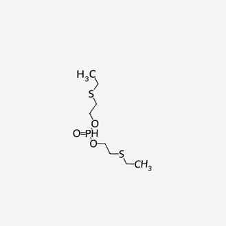 CCSCCO[PH](=O)OCCSCC